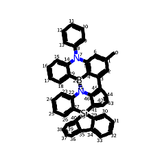 Cc1cc2c3c(c1)N(c1ccccc1)c1ccccc1B3N1c3ccccc3[Si]3(c4ccccc4-c4ccccc43)c3cccc-2c31